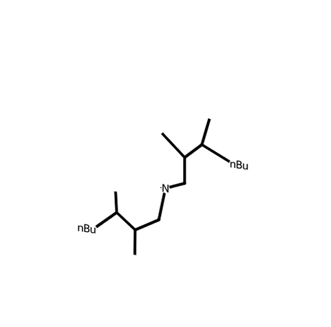 CCCCC(C)C(C)C[N]CC(C)C(C)CCCC